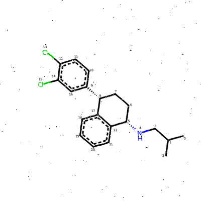 CC(C)CN[C@H]1CC[C@@H](c2ccc(Cl)c(Cl)c2)c2ccccc21